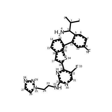 CC(C)C(N)c1ccc(F)cc1-c1cccc2cc(-c3nc(NCCn4ccnn4)ncc3F)sc12